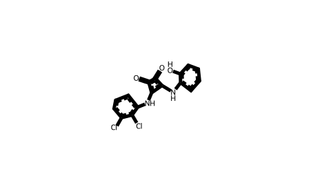 O=c1c(Nc2ccccc2O)c(Nc2cccc(Cl)c2Cl)c1=O